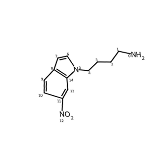 NCCCCn1ccc2ccc([N+](=O)[O-])cc21